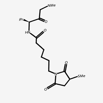 CNCC(=O)[C@@H](NC(=O)CCCCCN1C(=O)CC(SC)C1=O)C(C)C